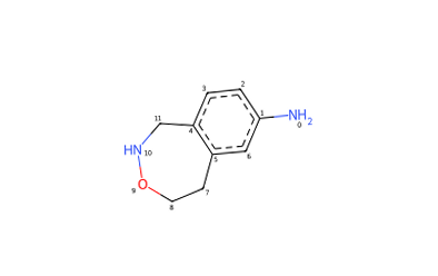 Nc1ccc2c(c1)CCONC2